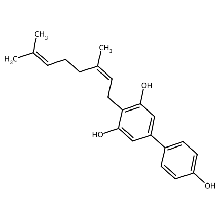 CC(C)=CCCC(C)=CCc1c(O)cc(-c2ccc(O)cc2)cc1O